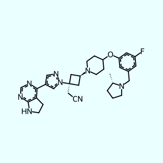 C[C@H]1CCCN1Cc1cc(F)cc(OC2CCN([C@H]3C[C@@](CC#N)(n4cc(-c5ncnc6c5CCN6)cn4)C3)CC2)c1